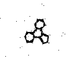 C1=c2c(c3ccccc3c3ccccc23)=CC1